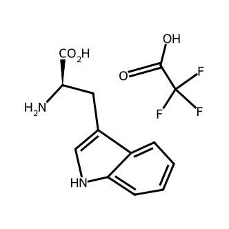 N[C@H](Cc1c[nH]c2ccccc12)C(=O)O.O=C(O)C(F)(F)F